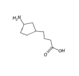 NC1CCC(CCCC(=O)O)C1